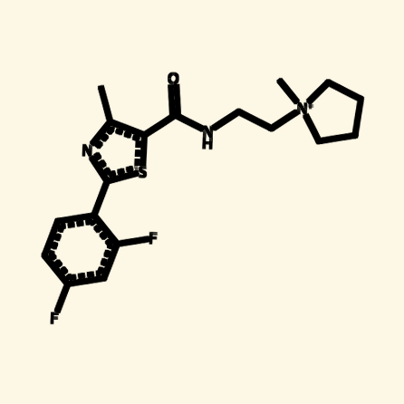 Cc1nc(-c2ccc(F)cc2F)sc1C(=O)NCC[N+]1(C)CCCC1